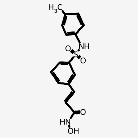 Cc1ccc(NS(=O)(=O)c2cccc(/C=C/C(=O)NO)c2)cc1